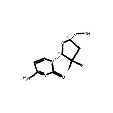 Nc1ccn([C@@H]2O[C@H](CO)[CH]C2(F)F)c(=O)n1